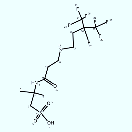 CC(C)(CS(=O)(=O)O)NC(=O)CCSCCC(F)(C(F)(F)F)C(F)(F)F